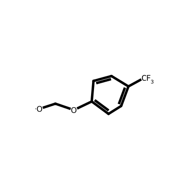 [O]COc1ccc(C(F)(F)F)cc1